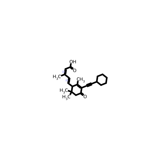 CC1=C(C#CC2CCCCC2)C(=O)CC(C)(C)C1/C=C/C(C)=C\C(=O)O